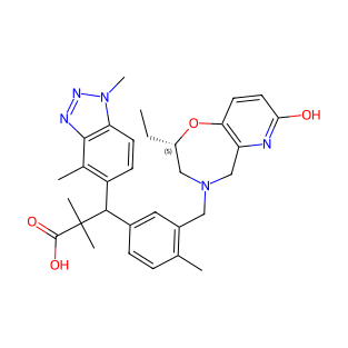 CC[C@H]1CN(Cc2cc(C(c3ccc4c(nnn4C)c3C)C(C)(C)C(=O)O)ccc2C)Cc2nc(O)ccc2O1